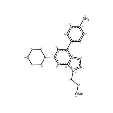 COCCn1ncc2c(-c3ccc(N)nc3)nc(N3CCOCC3)nc21